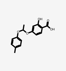 Cc1ccc(OC(C)Oc2ccc(C(=O)O)c(O)c2)cc1